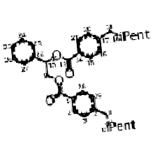 CCC[C@@H](C)Cc1ccc(C(=O)OCC(OC(=O)c2ccc(C[C@H](C)CCC)cc2)c2ccccc2)cc1